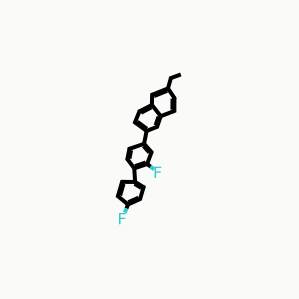 CCc1ccc2cc(-c3ccc(-c4ccc(F)cc4)c(F)c3)ccc2c1